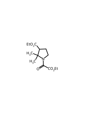 CCOC(=O)C(=O)N1CCC(C(=O)OCC)C1(C)C